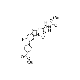 CC(C)(C)OC(=O)NNC(=O)Cc1nc2cc(F)c(N3CCN(C(=O)OC(C)(C)C)CC3)cc2n1C1CC1